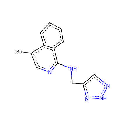 CC(C)(C)c1cnc(NCc2cn[nH]n2)c2ccccc12